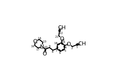 C#CCOc1ccc(CCC(=O)N2CCOCC2)cc1OCC#C